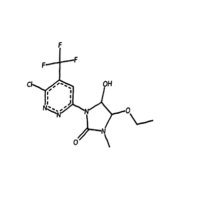 CCOC1C(O)N(c2cc(C(F)(F)F)c(Cl)nn2)C(=O)N1C